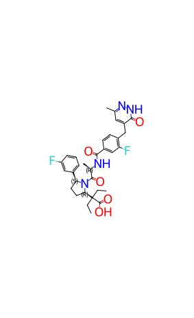 CCC(CC)(C(=O)O)[C@H]1CC[C@@H](c2cccc(F)c2)N1C(=O)[C@@H](C)NC(=O)c1ccc(Cc2cc(C)n[nH]c2=O)c(F)c1